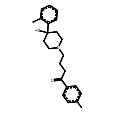 Cc1ccccc1C1(O)CCN(CCCC(=O)c2ccc(F)cc2)CC1